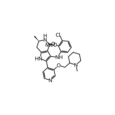 COc1c(Cl)cccc1Nc1c(-c2ccncc2OCC2CCCCN2C)[nH]c2c1C(=O)N[C@H](C)C2